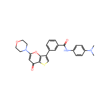 CN(C)c1ccc(NC(=O)c2cccc(-c3csc4c(=O)cc(N5CCOCC5)oc34)c2)cc1